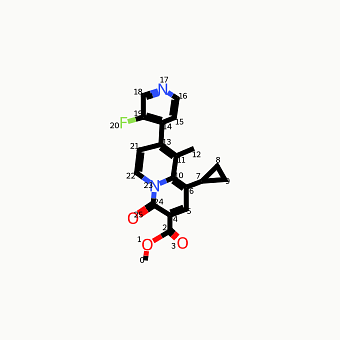 COC(=O)c1cc(C2CC2)c2c(C)c(-c3ccncc3F)ccn2c1=O